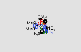 COCCOc1ccccc1S(=O)(=O)NC(=O)Nc1nc(OC)nc(OC)n1.Nc1c([N+](=O)[O-])cnn1-c1c(Cl)cc(C(F)(F)F)cc1Cl